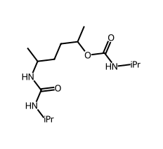 CC(C)NC(=O)NC(C)CCC(C)OC(=O)NC(C)C